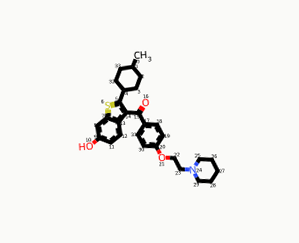 CC1CCC(c2sc3cc(O)ccc3c2C(=O)c2ccc(OCCN3CCCCC3)cc2)CC1